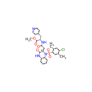 COC(=O)C(Cc1ccncc1)NC(=O)C[C@@H]1C(=O)Nc2ccccc2N1S(=O)(=O)c1cc(C)c(Cl)cc1C